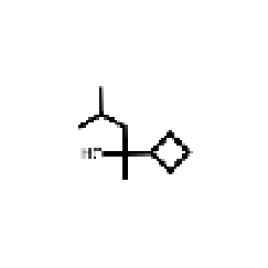 CC(C)CC(C)(O)C1CCC1